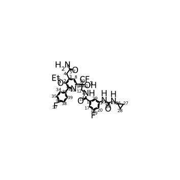 CCOc1c(CC(N)=O)cc([C@@](O)(CNC(=O)c2cc(F)cc(NC(=O)NC3CC3)c2)C(F)(F)F)nc1-c1ccc(F)cc1